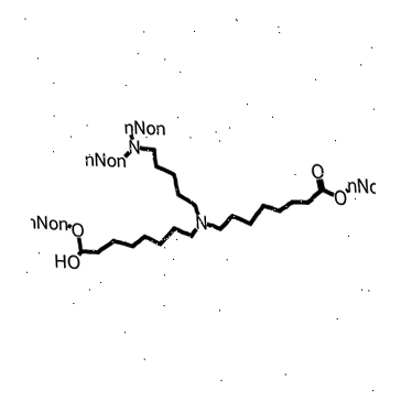 CCCCCCCCCOC(=O)CCCCCCCN(CCCCCCCC(O)OCCCCCCCCC)CCCCCN(CCCCCCCCC)CCCCCCCCC